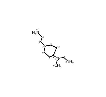 CN(CN)C1CCN(CCN)CC1